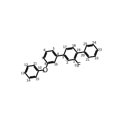 Fc1[c]c(-c2cccc(Oc3ccccc3)c2)ccc1-c1ccccc1